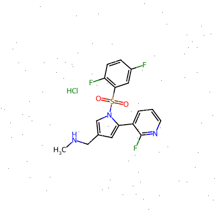 CNCc1cc(-c2cccnc2F)n(S(=O)(=O)c2cc(F)ccc2F)c1.Cl